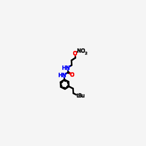 CC(C)(C)CCc1cccc(NC(=O)NCCCO[N+](=O)[O-])c1